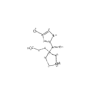 CCCC1(C(=O)c2cc(Cl)cs2)CCNC1